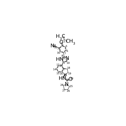 CC(C)Oc1ccc(-c2ncc(-c3cccc4c3CC[C@H]4NC(=O)N3CCCC3)[nH]2)cc1C#N